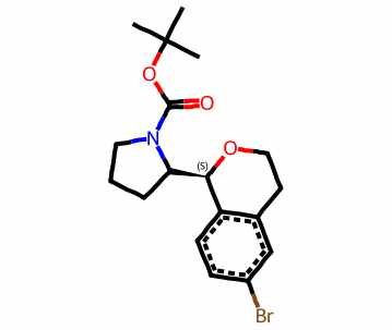 CC(C)(C)OC(=O)N1CCCC1[C@H]1OCCc2cc(Br)ccc21